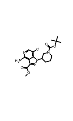 COC(=O)c1nn(C2CCCN(C(=O)OC(C)(C)C)C2)c2c(Cl)cnc(N)c12